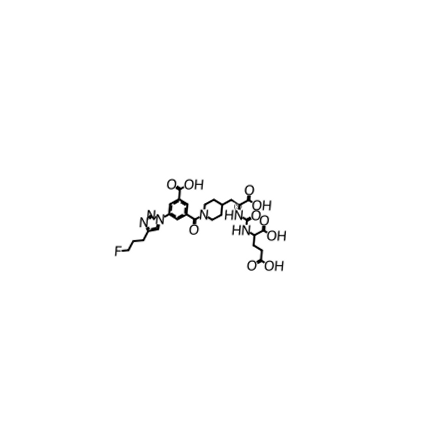 O=C(O)CCC(NC(=O)N[C@@H](CC1CCN(C(=O)c2cc(C(=O)O)cc(-n3cc(CCCF)nn3)c2)CC1)C(=O)O)C(=O)O